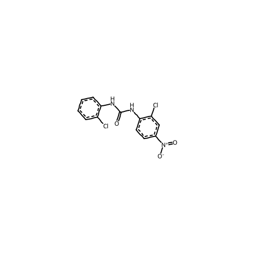 O=C(Nc1ccccc1Cl)Nc1ccc([N+](=O)[O-])cc1Cl